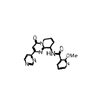 COc1ncccc1C(=O)NC1CCCn2c1nc(-c1ccncn1)cc2=O